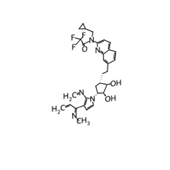 C=C/C(=N/C)c1ccn([C@@H]2C[C@H](CCc3ccc4ccc(N(CC5CC5)C(=O)C(F)(F)F)nc4c3)[C@@H](O)[C@H]2O)c1N=C